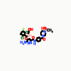 CB(O)N1CCCN(C(=O)c2ccc(NC(=O)c3cc(O[C@H](BC#CO)c4c(Cl)ccc(F)c4Cl)c(N)nn3)cc2)CC1